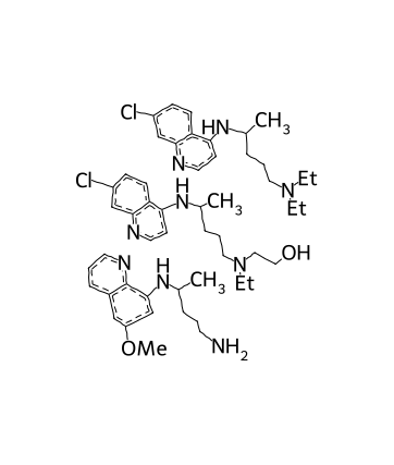 CCN(CC)CCCC(C)Nc1ccnc2cc(Cl)ccc12.CCN(CCO)CCCC(C)Nc1ccnc2cc(Cl)ccc12.COc1cc(NC(C)CCCN)c2ncccc2c1